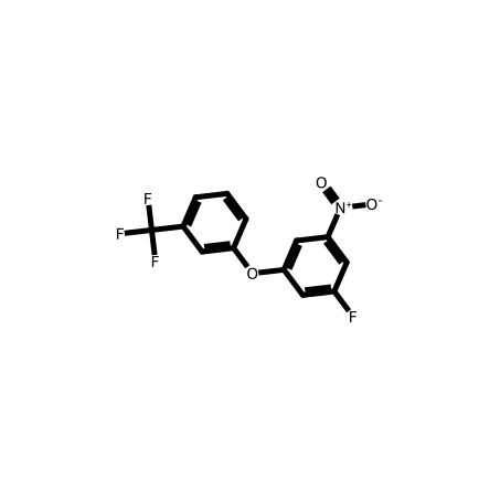 O=[N+]([O-])c1cc(F)cc(Oc2cccc(C(F)(F)F)c2)c1